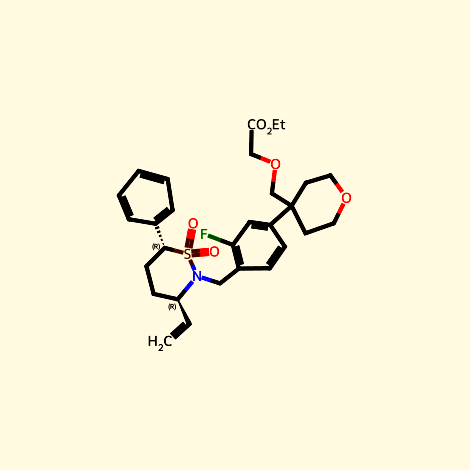 C=C[C@H]1CC[C@H](c2ccccc2)S(=O)(=O)N1Cc1ccc(C2(COCC(=O)OCC)CCOCC2)cc1F